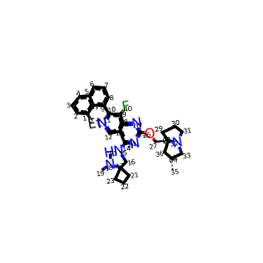 CCc1cccc2cccc(-c3ncc4c(NCC5(N(C)C)CCC5)nc(OC[C@@]56CCCN5C[C@H](C)C6)nc4c3F)c12